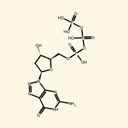 Nc1nc2c(nnn2[C@H]2C[C@H](O)[C@@H](COP(=O)(O)OP(=O)(O)OP(=O)(O)O)O2)c(=O)[nH]1